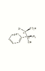 C[C@@](O)(c1ccccc1)[C@@H](Br)C(=O)O